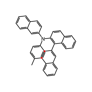 Cc1ccc(N(c2ccc3ccccc3c2)c2ccc3ccccc3c2-c2ccc3ccccc3c2)cc1